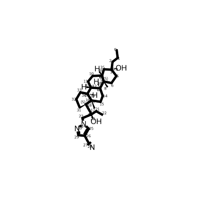 CCC[C@@]1(O)CC[C@@]2(C)[C@H](CC[C@@H]3[C@@H]2CC[C@]2(C)[C@@H]([C@](O)(CC)Cn4cc(C#N)cn4)CCC[C@@H]32)C1